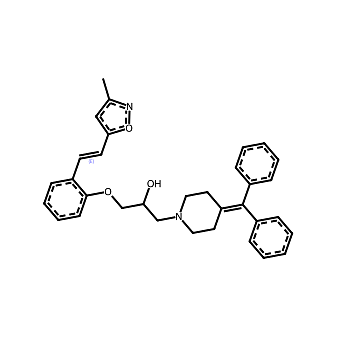 Cc1cc(/C=C/c2ccccc2OCC(O)CN2CCC(=C(c3ccccc3)c3ccccc3)CC2)on1